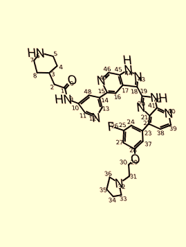 O=C(CC1CCNCC1)Nc1cncc(-c2cc3c(-c4nc5c(-c6cc(F)cc(OCCN7CCCC7)c6)ccnc5[nH]4)n[nH]c3cn2)c1